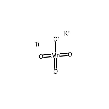 [K+].[O]=[Mn](=[O])(=[O])[O-].[Ti]